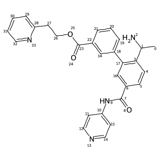 CC(N)c1ccc(C(=O)Nc2ccncc2)cc1-c1cccc(C(=O)OCCc2ccccn2)c1